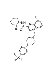 O=C(N[C@H]1CCCC[C@@H]1O)c1cc(CN2CCC(c3ccc(C(F)(F)F)cc3)CC2)c2cccc(F)c2n1